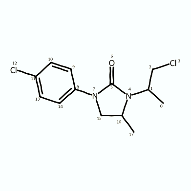 CC(CCl)N1C(=O)N(c2ccc(Cl)cc2)CC1C